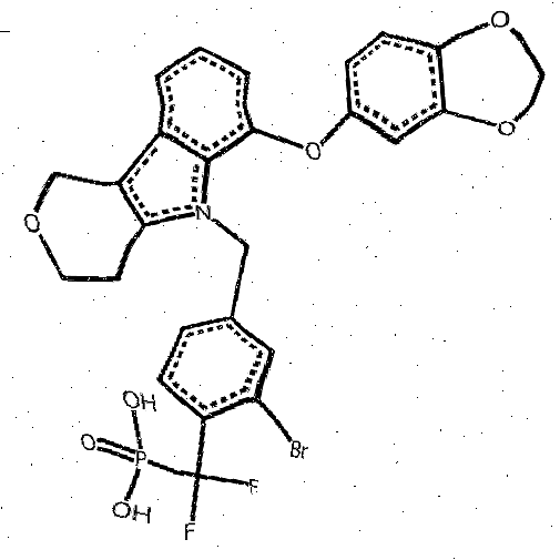 O=P(O)(O)C(F)(F)c1ccc(Cn2c3c(c4cccc(Oc5ccc6c(c5)OCO6)c42)COCC3)cc1Br